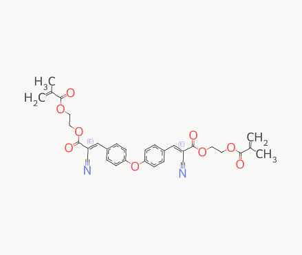 C=C(C)C(=O)OCCOC(=O)/C(C#N)=C/c1ccc(Oc2ccc(/C=C(\C#N)C(=O)OCCOC(=O)C(=C)C)cc2)cc1